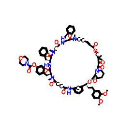 COc1ccc(CC[C@H]2OC(=O)[C@@H]3CCCCN3C(=O)C(=O)C(C)(C)COC(=O)/C=C/CCN(C)C(=O)[C@@H](Cc3ccccc3)NC(=O)CN(C)C(=O)[C@@H](Cc3ccccc3)NC(=O)[C@H](Cc3ccc(OC(=O)N4CCOCC4)cc3)N(C)C(=O)CCC(=O)Nc3cccc2c3)cc1OC